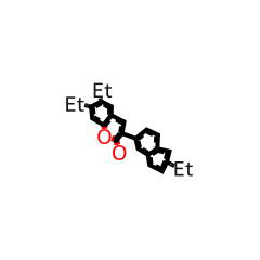 CCc1ccc2cc(-c3cc4cc(CC)c(CC)cc4oc3=O)ccc2c1